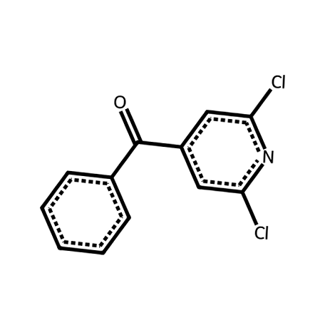 O=C(c1ccccc1)c1cc(Cl)nc(Cl)c1